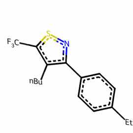 CCCCc1c(-c2ccc(CC)cc2)nsc1C(F)(F)F